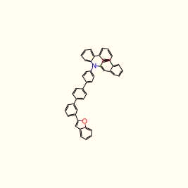 c1ccc(-c2ccccc2N(c2ccc(-c3ccc(-c4cccc(-c5cc6ccccc6o5)c4)cc3)cc2)c2ccc3ccccc3c2)cc1